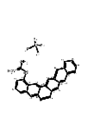 F[B-](F)(F)F.NC(=[NH2+])Nc1cccc2cc3ccc4cc5cc6ccccc6cc5cc4c3cc12